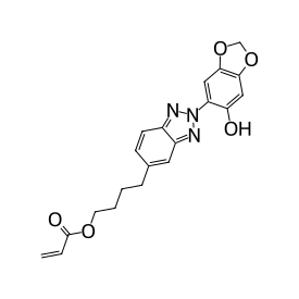 C=CC(=O)OCCCCc1ccc2nn(-c3cc4c(cc3O)OCO4)nc2c1